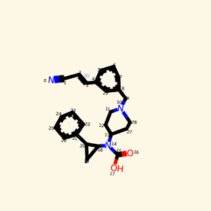 N#C/C=C/c1cccc(CN2CCC(N(C(=O)O)C3CC3c3ccccc3)CC2)c1